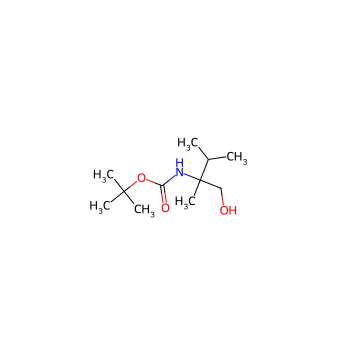 CC(C)C(C)(CO)NC(=O)OC(C)(C)C